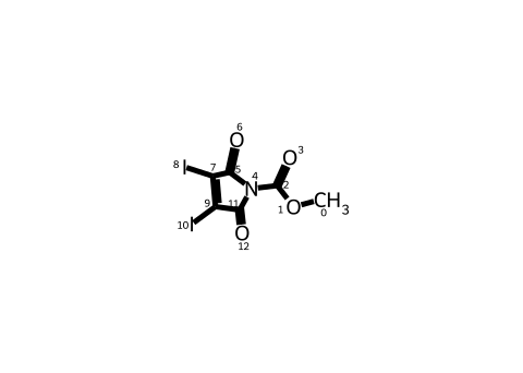 COC(=O)N1C(=O)C(I)=C(I)C1=O